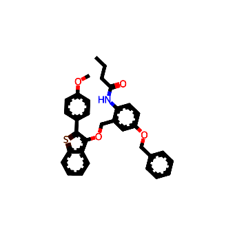 CCCC(=O)Nc1ccc(OCc2ccccc2)cc1COc1c(-c2ccc(OC)cc2)sc2ccccc12